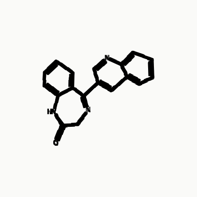 O=C1CN=C(c2cnc3ccccc3c2)c2ccccc2N1